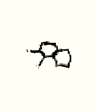 Clc1ccc2c(c1Cl)NCCC2